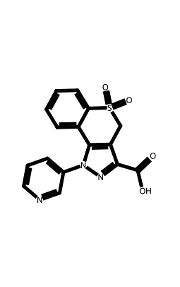 O=C(O)c1nn(-c2cccnc2)c2c1CS(=O)(=O)c1ccccc1-2